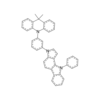 CC1(C)c2ccccc2N(c2cccc(-n3ccc4c3ccc3c5ccccc5n(-c5ccccc5)c34)c2)c2ccccc21